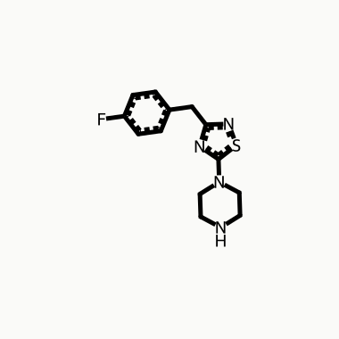 Fc1ccc(Cc2nsc(N3CCNCC3)n2)cc1